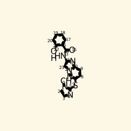 Cn1ccnc1Sc1ccc2nc(NC(=O)c3ccccc3O)cn2n1